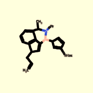 C=CCC1C=C2B(C3C=CC(CCCCCC)=C3)N(C(C)C)C(C)c3cccc1c32